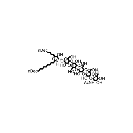 CCCCCCCCCCCCC/C=C/[C@@H](O)[C@H](CO[C@@H]1OC(CO)[C@@H](O[C@@H]2OC(CO)[C@H](O[C@@H]3OC(CO)[C@H](O)[C@H](O[C@H]4OC(CO)[C@H](O)[C@H](O[C@@H]5OC(CO)[C@H](O)[C@H](O)C5NC(C)=O)C4O)C3O)[C@H](O)C2O)[C@H](O)C1O)NC(=O)CCCCCCCCCCCCCCCCCCC